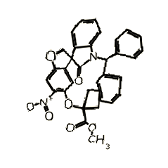 COC(=O)C1(Oc2cc3c(cc2[N+](=O)[O-])OCC32C(=O)N(C(c3ccccc3)c3ccccc3)c3ccccc32)CCC1